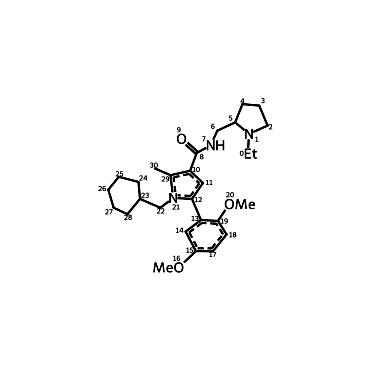 CCN1CCCC1CNC(=O)c1cc(-c2cc(OC)ccc2OC)n(CC2CCCCC2)c1C